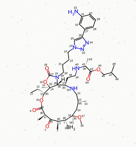 B[C@@H]1[C@@H](C)C(=O)[C@@H](C)C(=O)O[C@H](CC)[C@@]2(C)OC(=O)N(CCCCn3cc(-c4cccc(N)c4)nn3)[C@@H]2[C@@H](CCN[C@H](C)C(=O)OCC(C)C)NC[C@H](C)C[C@@]1(C)OC